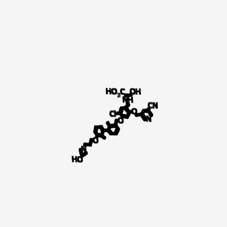 Cc1c(COc2cc(OCc3cncc(C#N)c3)c(CN[C@H](CO)C(=O)O)cc2Cl)cccc1-c1cccc(OCCCN2CC(O)C2)c1C